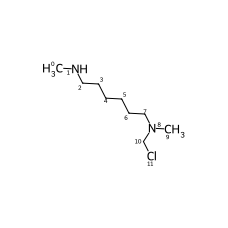 CNCCCCCCN(C)CCl